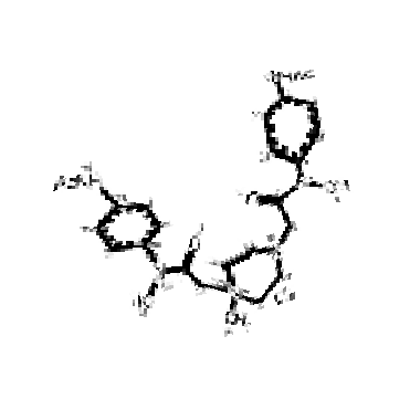 CC(=O)Nc1ccc(N(O)C(=O)CN2CC[N+](C)(CC(=O)N(O)c3ccc(NC(C)=O)cc3)CC2)cc1.[Cl-]